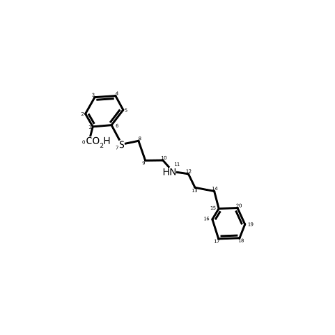 O=C(O)c1ccccc1SCCCNCCCc1ccccc1